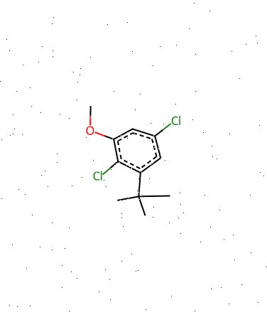 COc1cc(Cl)cc(C(C)(C)C)c1Cl